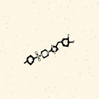 Cc1ccc(S(=O)(=O)N2CCN(c3nc(Cc4ccc(F)c(F)c4)cs3)CC2)cc1